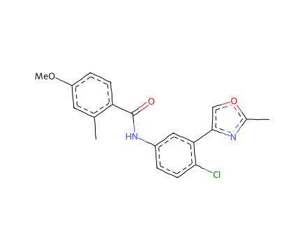 COc1ccc(C(=O)Nc2ccc(Cl)c(-c3coc(C)n3)c2)c(C)c1